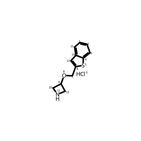 Cl.c1ccc2sc(COC3CNC3)cc2c1